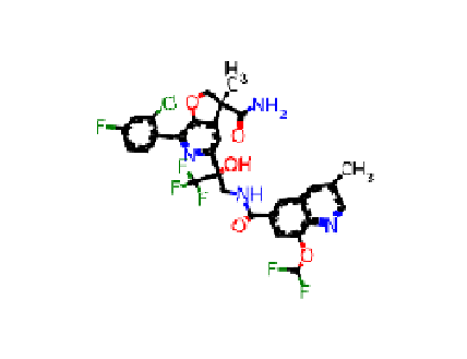 Cc1cnc2c(OC(F)F)cc(C(=O)NCC(O)(c3cc4c(c(-c5ccc(F)cc5Cl)n3)OC[C@]4(C)C(N)=O)C(F)(F)F)cc2c1